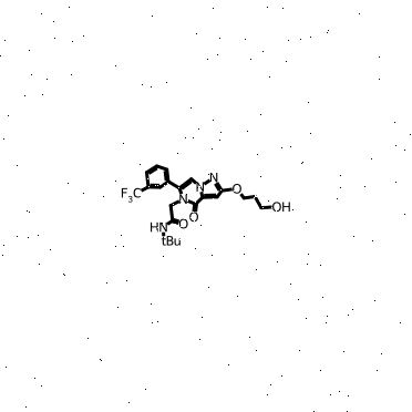 CC(C)(C)NC(=O)Cn1c(-c2cccc(C(F)(F)F)c2)cn2nc(OCCCO)cc2c1=O